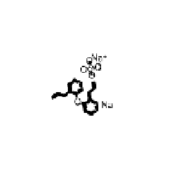 C=CCc1ccccc1Oc1ccccc1CC=C.O=S(=O)([O-])[O-].[Na+].[Na+]